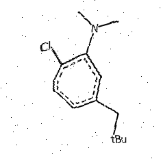 CN(C)c1cc(CC(C)(C)C)ccc1Cl